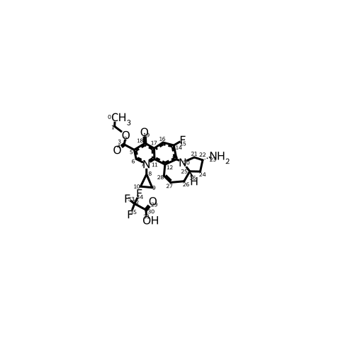 CCOC(=O)c1cn(C2CC2)c2c3c(c(F)cc2c1=O)N1C[C@H](N)C[C@@H]1CC=C3.O=C(O)C(F)(F)F